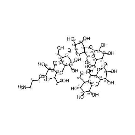 NCCCO[C@@H]1OC(CO)[C@@H](O[C@H]2OC(CO)[C@H](O[C@H]3OC(CO)[C@@H](O[C@@H]4OC(CO)[C@@H](O[C@H]5OC(CO)[C@H](O[C@H]6OC(CO)[C@@H](O)[C@H](O)C6O)[C@H](O)C5O)C(O)[C@@H]4O)[C@H](O)C3O)[C@H](O)C2O)C(O)[C@@H]1O